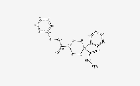 NNC(=O)C1(c2ccccc2)CCN(C(=O)OCc2ccccc2)CC1